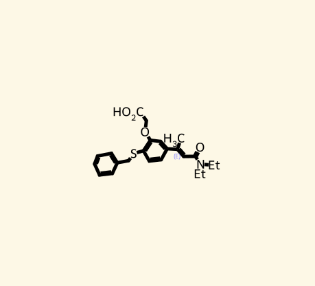 CCN(CC)C(=O)/C=C(\C)c1ccc(SCc2ccccc2)c(OCC(=O)O)c1